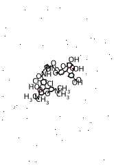 CN(C)c1ccc2c(-c3c(Cl)cc(C(=O)NCc4ccc(C(=O)NCc5c6oc7cc(O)ccc7c(-c7ccc(C(=O)O)cc7C(=O)O)c-6ccc5=O)o4)c(Cl)c3C(=O)O)c3ccc(=[N+](C)C)cc-3oc2c1